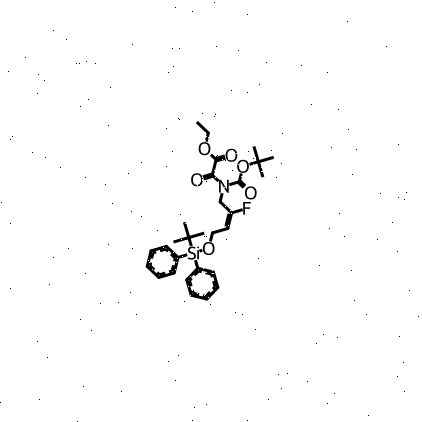 CCOC(=O)C(=O)N(C/C(F)=C\CO[Si](c1ccccc1)(c1ccccc1)C(C)(C)C)C(=O)OC(C)(C)C